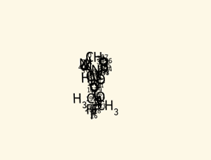 CCn1nccc1C(=O)N[C@H](C(=O)Nc1ccc([C@H](C)C(=O)N(C)CC(F)(F)F)cc1F)[C@@H]1CCc2ccccc21